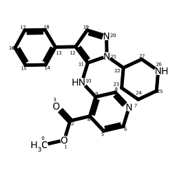 COC(=O)c1ccncc1Nc1c(-c2ccccc2)cnn1C1CCCNC1